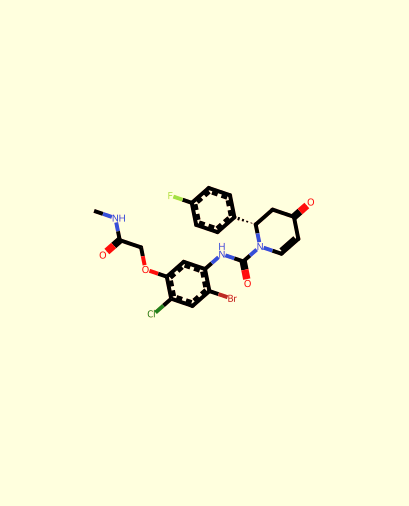 CNC(=O)COc1cc(NC(=O)N2C=CC(=O)C[C@H]2c2ccc(F)cc2)c(Br)cc1Cl